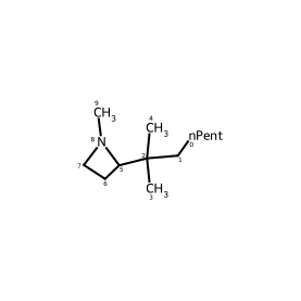 CCCCCCC(C)(C)C1CCN1C